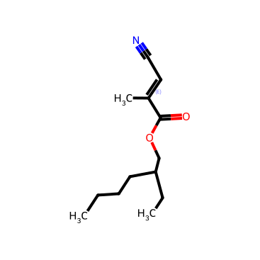 CCCCC(CC)COC(=O)/C(C)=C/C#N